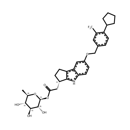 C[C@H]1O[C@@H](OC(=O)C[C@@H]2CCc3c2[nH]c2ccc(OCc4ccc(C5CCCC5)c(C(F)(F)F)c4)cc32)[C@H](O)[C@@H](O)[C@@H]1O